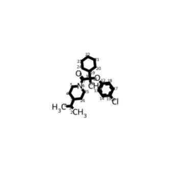 CC(C)C1CCN(C(=O)C(C)(Oc2ccc(Cl)cc2)C2CCCCC2)CC1